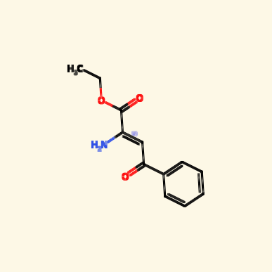 CCOC(=O)/C(N)=C/C(=O)c1ccccc1